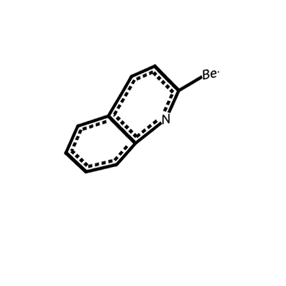 [Be][c]1ccc2ccccc2n1